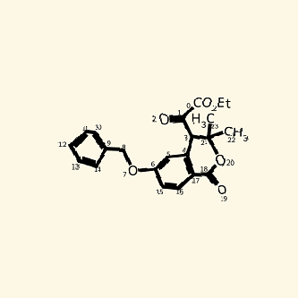 CCOC(=O)C(=O)C1c2cc(OCc3ccccc3)ccc2C(=O)OC1(C)C